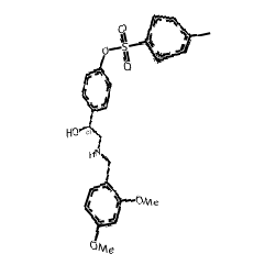 COc1ccc(CNC[C@@H](O)c2ccc(OS(=O)(=O)c3ccc(C)cc3)cc2)c(OC)c1